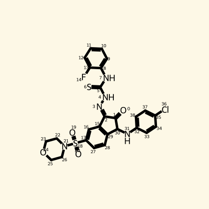 O=C1/C(=N\NC(=S)Nc2ccccc2F)c2cc(S(=O)(=O)N3CCOCC3)ccc2C1Nc1ccc(Cl)cc1